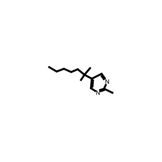 CCCCCC(C)(C)c1cnc(C)nc1